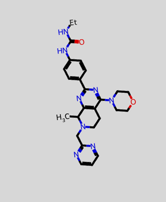 CCNC(=O)Nc1ccc(-c2nc3c(c(N4CCOCC4)n2)CCN(Cc2ncccn2)C3C)cc1